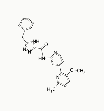 COc1ccc(C)nc1-c1ccnc(NC(=O)c2nnc(Cc3ccccc3)[nH]2)c1